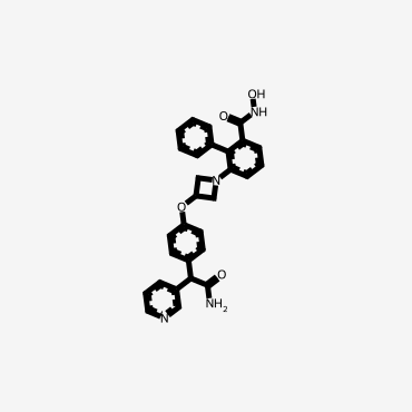 NC(=O)C(c1ccc(OC2CN(c3cccc(C(=O)NO)c3-c3ccccc3)C2)cc1)c1cccnc1